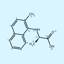 Cc1ccc2ccccc2c1N[C@H](C)C(=O)O